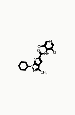 Cc1nn(C2CCCCC2)c2sc(C(=O)Nc3c(Cl)cncc3Cl)cc12